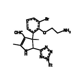 CCn1nnc(C2NC(C)=C(C=O)C2(C)c2cccc(Br)c2OCCN)n1